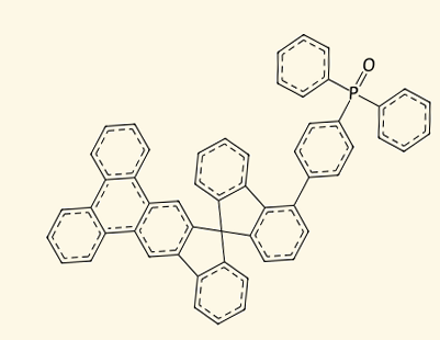 O=P(c1ccccc1)(c1ccccc1)c1ccc(-c2cccc3c2-c2ccccc2C32c3ccccc3-c3cc4c5ccccc5c5ccccc5c4cc32)cc1